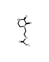 NC(=O)OCCN1CCNC(=O)C1=O